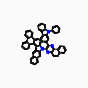 c1ccc(-n2c3ccccc3c3ccc(-c4nc5c(ccc6ccccc65)nc4-n4c5cc6ccccc6cc5c5c6c7ccccc7c7ccccc7c6ccc54)cc32)cc1